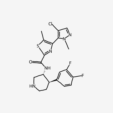 Cc1sc(C(=O)N[C@H]2CNCC[C@@H]2c2ccc(F)c(F)c2)nc1-c1c(Cl)cnn1C